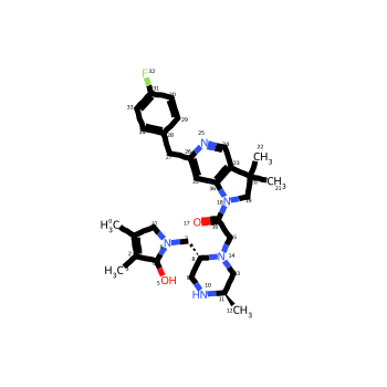 CC1=C(C)C(O)N(C[C@H]2CN[C@H](C)CN2CC(=O)N2CC(C)(C)c3cnc(Cc4ccc(F)cc4)cc32)C1